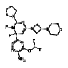 Nc1ncc(C2(F)C=C(N3CC(N4CCOCC4)C3)N=C(N3CCCC3)N2F)cc1OC(F)F